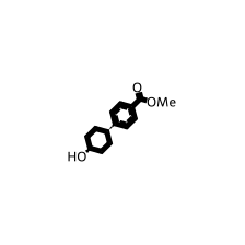 COC(=O)c1ccc([C@H]2CC[C@H](O)CC2)cc1